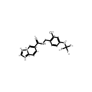 O=C(NCc1ccc(OC(F)(F)F)cc1Cl)c1ccc2ncnn2c1